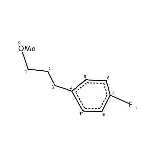 COCC[CH]c1ccc(F)cc1